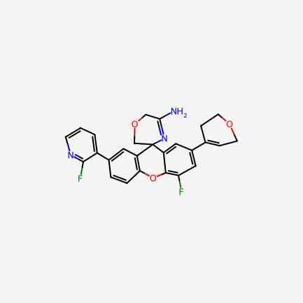 NC1=NC2(COC1)c1cc(-c3cccnc3F)ccc1Oc1c(F)cc(C3=CCOCC3)cc12